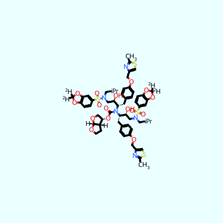 [2H]C1([2H])Oc2ccc(S(=O)(=O)N(CC(C)C)C[C@@H](O)[C@H](Cc3ccc(OCc4csc(C)n4)cc3)N(C(=O)O[C@H]3CO[C@H]4OCC[C@H]43)[C@@H](Cc3ccc(OCc4csc(C)n4)cc3)[C@H](O)CN(CC(C)C)S(=O)(=O)c3ccc4c(c3)OC([2H])([2H])O4)cc2O1